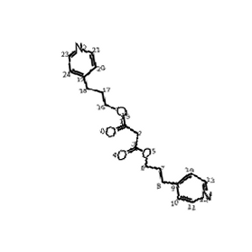 O=C(CC(=O)OCCCc1ccncc1)OCCCc1ccncc1